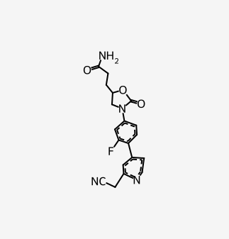 N#CCc1cc(-c2ccc(N3CC(CCC(N)=O)OC3=O)cc2F)ccn1